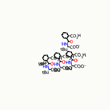 CC(C)(C)[C@H](NC(=O)c1ccccc1C(=O)O)C(=O)[O-].CC(C)(C)[C@H](NC(=O)c1ccccc1C(=O)O)C(=O)[O-].CC(C)(C)[C@H](NC(=O)c1ccccc1C(=O)O)C(=O)[O-].CC(C)(C)[C@H](NC(=O)c1ccccc1C(=O)O)C(=O)[O-].[Rh+2].[Rh+2]